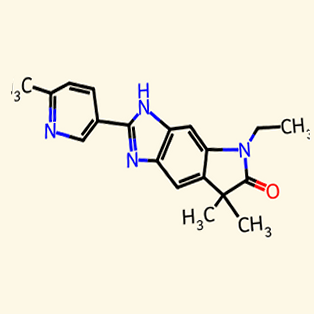 CCN1C(=O)C(C)(C)c2cc3nc(-c4ccc(C)nc4)[nH]c3cc21